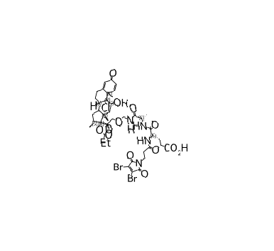 CCC(=O)O[C@]1(C(=O)COCNC(=O)[C@H](C)NC(=O)[C@H](CCC(=O)O)NC(=O)CCN2C(=O)C(Br)=C(Br)C2=O)[C@@H](C)CC2[C@@H]3CCC4=CC(=O)C=C[C@]4(C)[C@@]3(Cl)[C@@H](O)C[C@@]21C